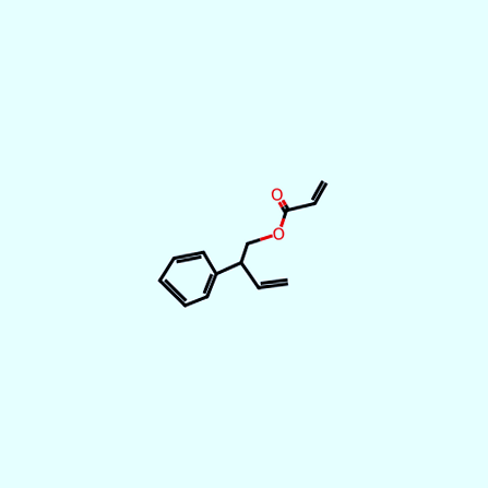 C=CC(=O)OCC(C=C)c1ccccc1